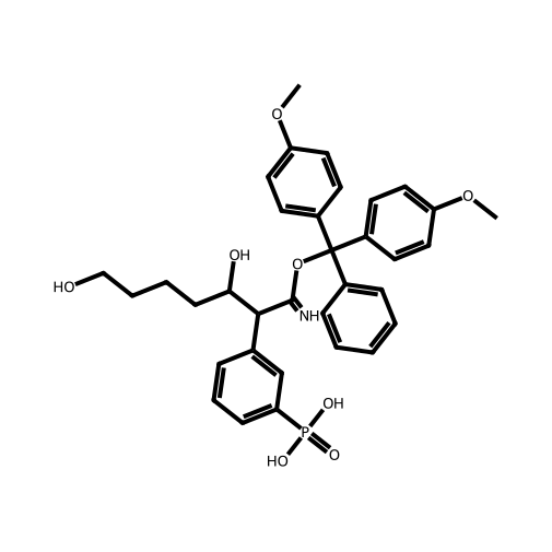 COc1ccc(C(OC(=N)C(c2cccc(P(=O)(O)O)c2)C(O)CCCCO)(c2ccccc2)c2ccc(OC)cc2)cc1